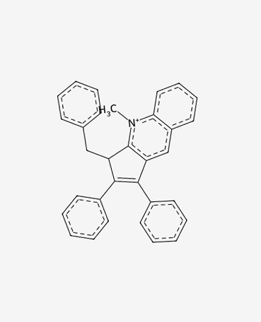 C[n+]1c2c(cc3ccccc31)C(c1ccccc1)=C(c1ccccc1)C2Cc1ccccc1